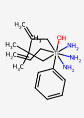 C=C[CH2][Ti]([NH2])([NH2])([NH2])([OH])([CH2]C=C)([CH2]C(C)(C)C)[c]1ccccc1